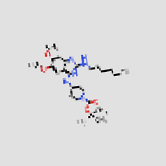 CCCCCCNc1nc(NC2CCN(C(=O)OC(C)(C)C)CC2)c2cc(OC)c(OC)cc2n1